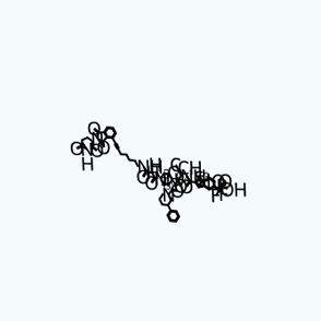 CC(C)(C)[C@H](NC(=O)c1cc2cc(C(F)(F)P(=O)(O)O)ccc2s1)C(=O)N1CCN(C(=O)CC(=O)NCCCCCC#Cc2cccc3c2C(=O)N(C2CCC(=O)NC2=O)C3=O)C[C@H]1C(=O)N1CCCC(c2ccccc2)C1